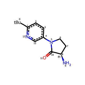 CC(C)(C)c1ccc(N2CC[C@@H](N)C2=O)cn1